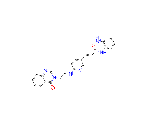 Nc1ccccc1NC(=O)C=Cc1ccc(NCCn2cnc3ccccc3c2=O)nc1